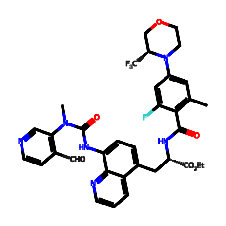 CCOC(=O)[C@H](Cc1ccc(NC(=O)N(C)c2cnccc2C=O)c2ncccc12)NC(=O)c1c(C)cc(N2CCOC[C@@H]2C(F)(F)F)cc1F